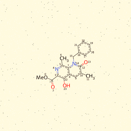 COC(=O)c1nc(C)c2c(cc(C)c(=O)n2Cc2ccccc2)c1O